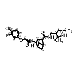 CC1NN(C)CC1CNC(=O)C1C[C@H](NC(=O)COc2ccc(Cl)c(F)c2)C2CC1C2